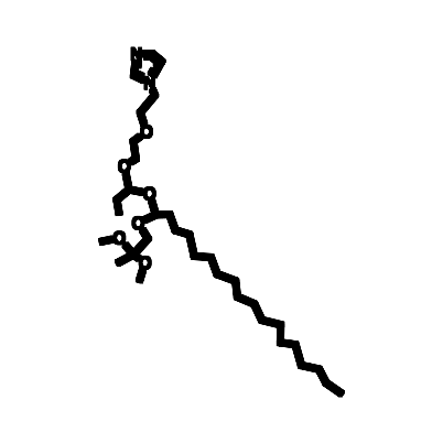 CCCCCCCCCCCCCCCCCC(OCC(C)(OC)OC)OC(CC)OCCOCCn1ccnc1